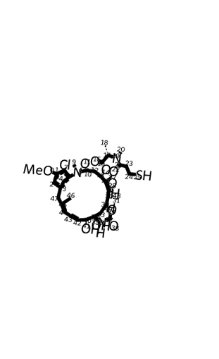 COc1cc2cc(c1Cl)N(C)C(=O)C[C@H](OC(=O)[C@H](C)N(C)C(=O)CCS)[C@]1(C)O[C@H]1[C@H](C)[C@@H]1C[C@@](O)(NC(=O)O1)[C@H](O)/C=C/C=C(\C)C2